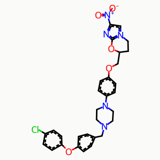 O=[N+]([O-])c1cn2c(n1)OC(COc1ccc(N3CCN(Cc4ccc(Oc5ccc(Cl)cc5)cc4)CC3)cc1)CC2